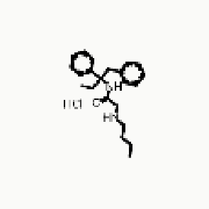 CCCCNCC(=O)NC(CC)(Cc1ccccc1)c1ccccc1.Cl